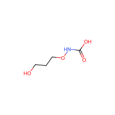 O=C(O)NOCCCO